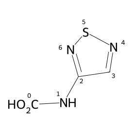 O=C(O)Nc1cnsn1